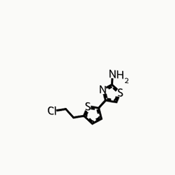 Nc1nc(-c2ccc(CCCl)s2)cs1